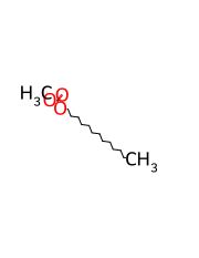 CCCCCCCCCCCCCOC(=O)OC